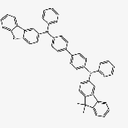 CC1(C)c2ccccc2-c2cc(N(c3ccccc3)c3ccc(-c4ccc(N(c5ccccc5)c5ccc6oc7ccccc7c6c5)cc4)cc3)ccc21